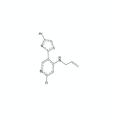 C=CCNc1cc(Cl)ncc1-c1nc(C(C)=O)cs1